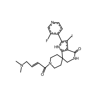 CN(C)CC=CC(=O)N1CCC2(CC1)CNC(=O)c1c2[nH]c(-c2ccncc2F)c1I